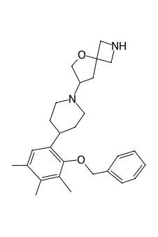 Cc1cc(C2CCN(C3COC4(CNC4)C3)CC2)c(OCc2ccccc2)c(C)c1C